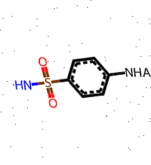 CC(=O)Nc1ccc(S([NH])(=O)=O)cc1